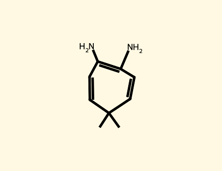 CC1(C)C=CC(N)=C(N)C=C1